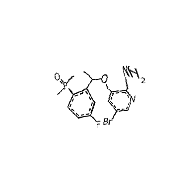 CC(Oc1cc(Br)cnc1N)c1cc(F)ccc1P(C)(C)=O